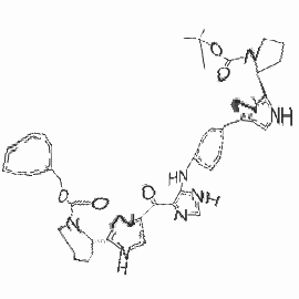 CC(C)(C)OC(=O)N1CCC[C@H]1c1nc(-c2ccc(Nc3[nH]cnc3C(=O)c3c[nH]c([C@@H]4CCCN4C(=O)OCc4ccccc4)n3)cc2)c[nH]1